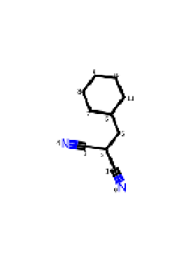 N#CC(C#N)CC1CCCCC1